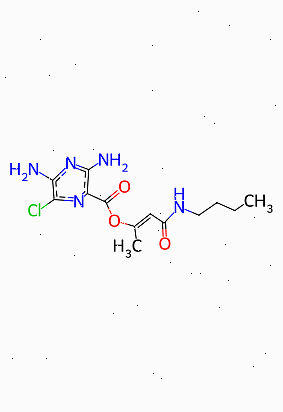 CCCCNC(=O)C=C(C)OC(=O)c1nc(Cl)c(N)nc1N